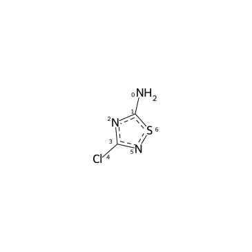 Nc1nc(Cl)ns1